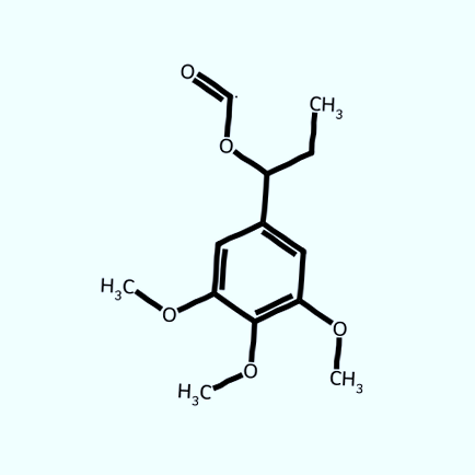 CCC(O[C]=O)c1cc(OC)c(OC)c(OC)c1